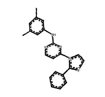 Cc1cc(C)cc(Nc2nccc(-n3ccnc3-c3ccccc3)n2)c1